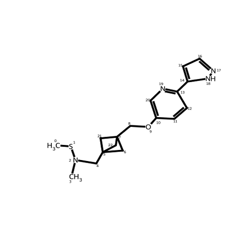 CSN(C)CC12CC(COc3ccc(-c4ccn[nH]4)nc3)(C1)C2